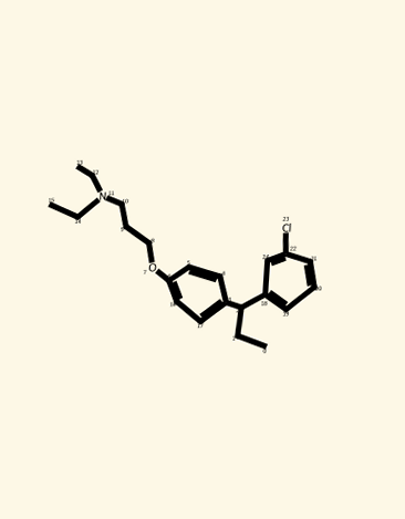 CC[C](c1ccc(OCCCN(CC)CC)cc1)c1cccc(Cl)c1